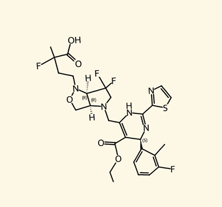 CCOC(=O)C1=C(CN2CC(F)(F)[C@H]3[C@@H]2CON3CCC(C)(F)C(=O)O)NC(c2nccs2)=N[C@H]1c1cccc(F)c1C